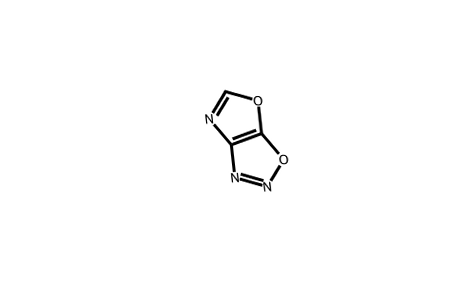 c1nc2nnoc2o1